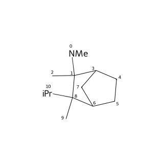 CNC1(C)C2CCC(C2)C1(C)C(C)C